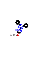 CCCCCCOC1=CNN(c2nc(-c3ccccc3)nc(-c3ccccc3)n2)N=C1